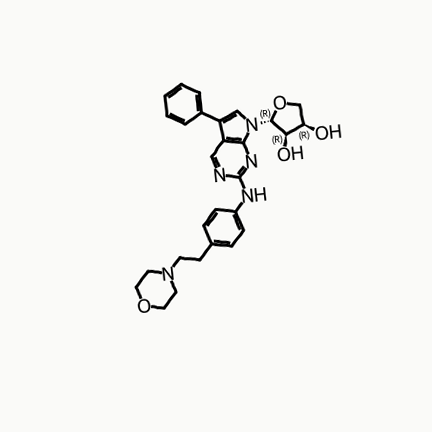 O[C@@H]1[C@H](O)CO[C@H]1n1cc(-c2ccccc2)c2cnc(Nc3ccc(CCN4CCOCC4)cc3)nc21